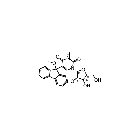 COC1(c2cn([C@@H]3O[C@H](CO)[C@@H](O)[C@H]3O)c(=O)[nH]c2=O)c2ccccc2-c2ccccc21